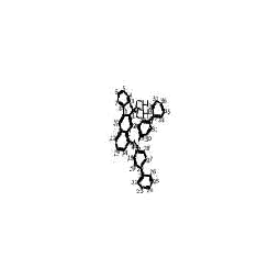 CC1(C)c2ccccc2-c2cc3cccc(N(c4ccc(-c5ccccc5)cc4)c4ccc(-c5ccccc5)cc4)c3cc21